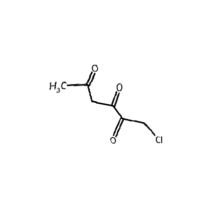 CC(=O)CC(=O)C(=O)CCl